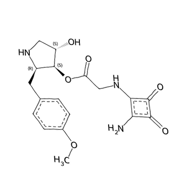 COc1ccc(C[C@H]2NC[C@H](O)[C@H]2OC(=O)CNc2c(N)c(=O)c2=O)cc1